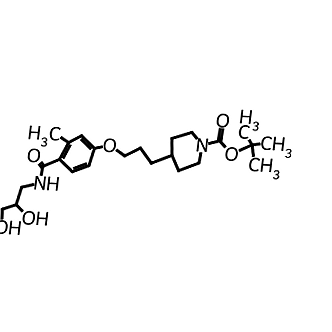 Cc1cc(OCCCC2CCN(C(=O)OC(C)(C)C)CC2)ccc1C(=O)NCC(O)CO